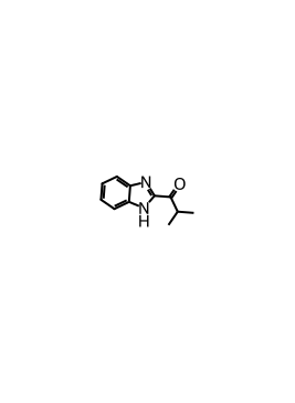 CC(C)C(=O)c1nc2ccccc2[nH]1